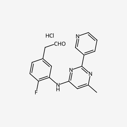 Cc1cc(Nc2cc(CC=O)ccc2F)nc(-c2cccnc2)n1.Cl